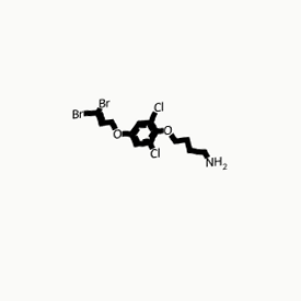 NCCCCOc1c(Cl)cc(OCC=C(Br)Br)cc1Cl